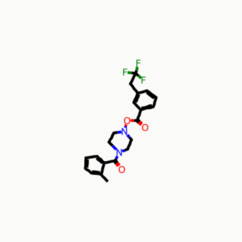 Cc1ccccc1C(=O)N1CCN(OC(=O)c2cccc(CC(F)(F)F)c2)CC1